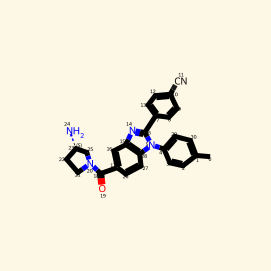 Cc1ccc(-n2c(-c3ccc(C#N)cc3)nc3cc(C(=O)N4CC[C@H](N)C4)ccc32)cc1